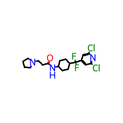 O=C(CCN1CCCC1)NC1CCC(C(F)(F)c2cc(Cl)nc(Cl)c2)CC1